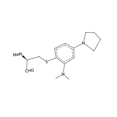 CN[C@H](C=O)CSc1ccc(N2CCCC2)cc1N(C)C